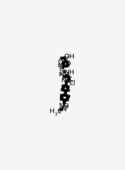 Cc1noc(-c2ccc(-c3ccc(-c4nc5nc(O[C@@H]6COC7[C@H](O)CO[C@@H]76)[nH]c5cc4Cl)cc3)cc2)n1